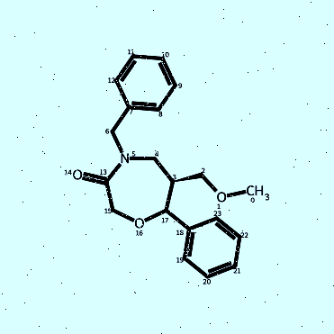 COC[C@@H]1CN(Cc2ccccc2)C(=O)COC1c1ccccc1